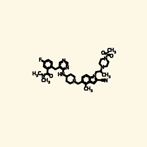 Cc1c(CN2CCC(Nc3ncncc3Cc3ccc(F)cc3C(=O)N(C)C)CC2)ccc2c1cc(C#N)n2CC(C)N1CCN(S(C)(=O)=O)CC1